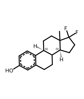 CC12CC[C@@H]3c4ccc(O)cc4CCC3[C@@H]1CCC2(F)F